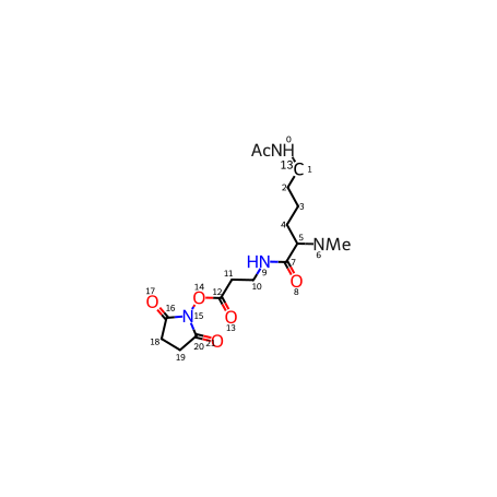 CC(=O)N[13CH2]CCCC([15NH][13CH3])C(=O)NCCC(=O)ON1C(=O)CCC1=O